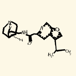 CC(C)c1coc2cnc(C(=O)N[C@@H]3CN4CCC3CC4)cc12